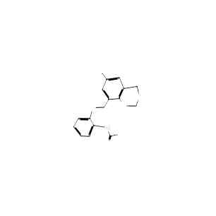 CC(=O)Nc1ccccc1SCc1cc(Cl)cc2c1OCOC2